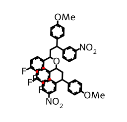 COc1ccc(C(CC(OC(CC(c2ccc(OC)cc2)c2cccc([N+](=O)[O-])c2)c2ccc(F)c(F)c2)c2ccc(F)c(F)c2)c2cccc([N+](=O)[O-])c2)cc1